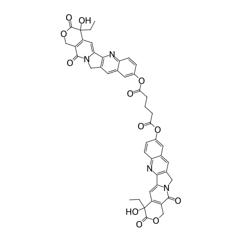 CCC1(O)C(=O)OCc2c1cc1n(c2=O)Cc2cc3cc(OC(=O)CCCC(=O)Oc4ccc5nc6c(cc5c4)Cn4c-6cc5c(c4=O)COC(=O)C5(O)CC)ccc3nc2-1